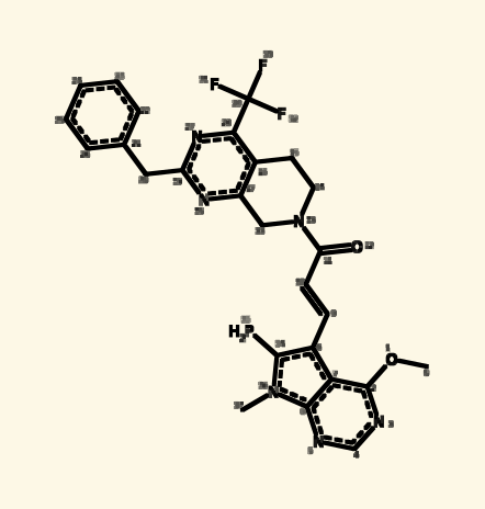 COc1ncnc2c1c(/C=C/C(=O)N1CCc3c(nc(Cc4ccccc4)nc3C(F)(F)F)C1)c(P)n2C